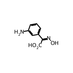 Nc1cccc(C(=NO)C(=O)O)c1